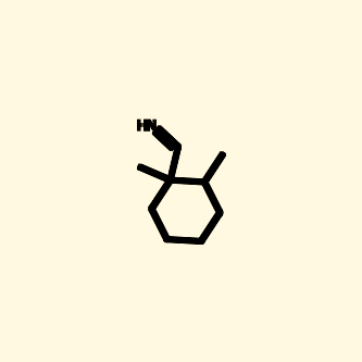 CC1CCCCC1(C)C=N